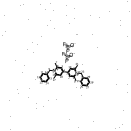 Cc1cc(-c2cc(C)[n+](Cc3ccccc3)c(C)c2)cc(C)[n+]1Cc1ccccc1.[O-]B(F)F.[O-]B(F)F